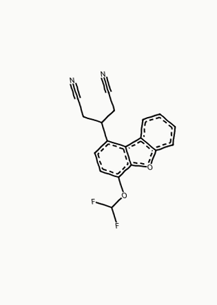 N#CCC(CC#N)c1ccc(OC(F)F)c2oc3ccccc3c12